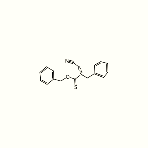 N#CN=S(Cc1ccccc1)C(=S)OCc1ccccc1